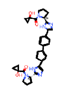 O=C(N1CCC[C@H]1c1ncc(-c2ccc(-c3ccc(-c4cnc([C@@H]5CCCN5C(=O)C5(O)CC5)[nH]4)cc3)cc2)[nH]1)C1(O)CC1